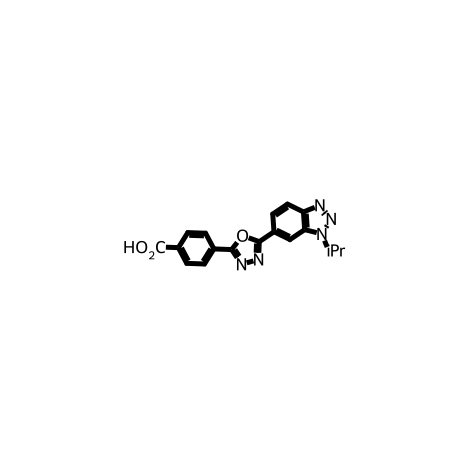 CC(C)n1nnc2ccc(-c3nnc(-c4ccc(C(=O)O)cc4)o3)cc21